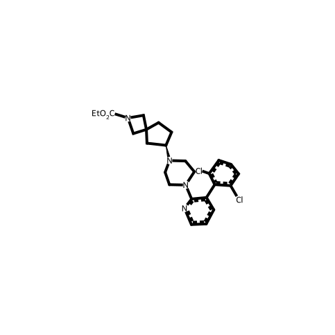 CCOC(=O)N1CC2(CC[C@@H](N3CCN(c4ncccc4-c4c(Cl)cccc4Cl)CC3)C2)C1